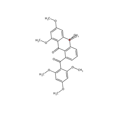 COc1cc(OC)c(C(=O)c2cccc(P=O)c2C(=O)c2c(OC)cc(OC)cc2OC)c(OC)c1